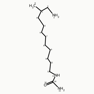 CC(CN)CCCCCCCCCNC(N)=O